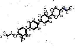 C=CCOc1ccc(-c2ccc(-c3ccc(C4OCC(/C=C/C)CO4)c(F)c3)cc2)c(F)c1F